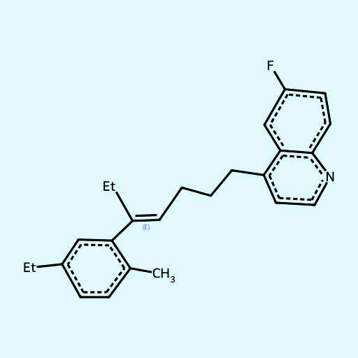 CC/C(=C\CCCc1ccnc2ccc(F)cc12)c1cc(CC)ccc1C